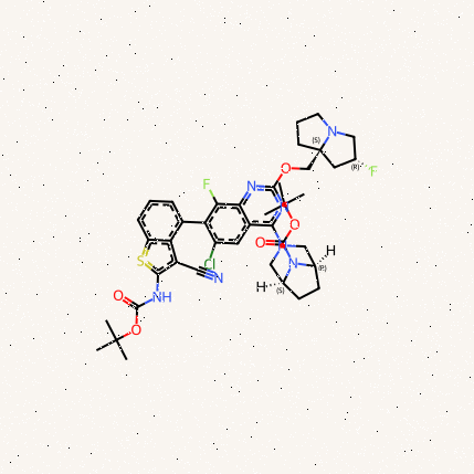 CC(C)(C)OC(=O)Nc1sc2cccc(-c3c(Cl)cc4c(N5C[C@H]6CC[C@@H](C5)N6C(=O)OC(C)(C)C)nc(OC[C@@]56CCCN5C[C@H](F)C6)nc4c3F)c2c1C#N